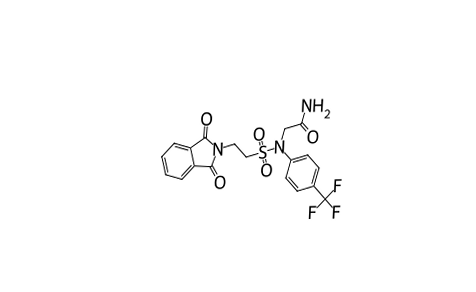 NC(=O)CN(c1ccc(C(F)(F)F)cc1)S(=O)(=O)CCN1C(=O)c2ccccc2C1=O